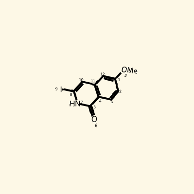 COc1ccc2c(=O)[nH]c(I)cc2c1